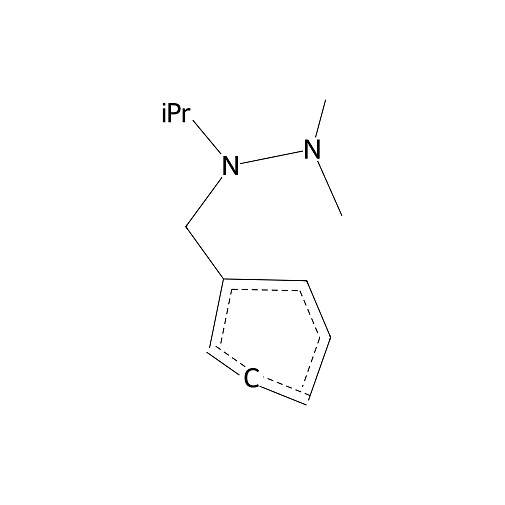 CC(C)N(Cc1ccccc1)N(C)C